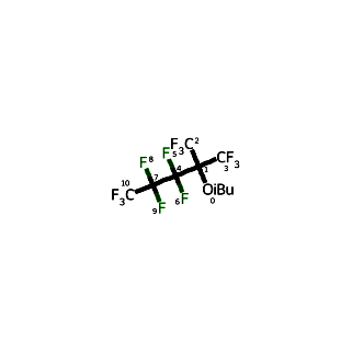 CC(C)COC(C(F)(F)F)(C(F)(F)F)C(F)(F)C(F)(F)C(F)(F)F